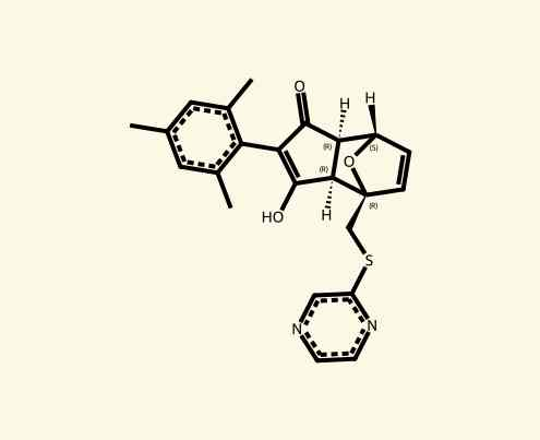 Cc1cc(C)c(C2=C(O)[C@H]3[C@@H](C2=O)[C@@H]2C=C[C@@]3(CSc3cnccn3)O2)c(C)c1